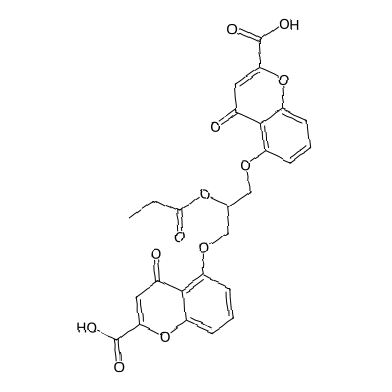 CCC(=O)OC(COc1cccc2oc(C(=O)O)cc(=O)c12)COc1cccc2oc(C(=O)O)cc(=O)c12